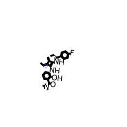 C=C1C(N[C@H](CC)c2ccc(F)cc2)=C(Nc2cccc(C(=O)N(C)C)c2O)/C1=C/C